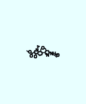 CCOC(=O)c1cn(C2CC2)c2c3c(ccc2c1=O)-c1cnc(NCC2COC2)cc1COC3